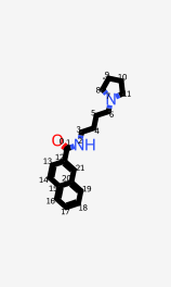 O=C(NCCCCN1C[CH]CC1)c1ccc2ccccc2c1